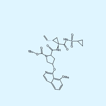 C=C[C@@H]1C[C@]1(NC(=O)C1CC(Oc2nccc3cccc(OC)c23)CN1C(=O)OC(C)(C)C)C(=O)NS(=O)(=O)C1CC1